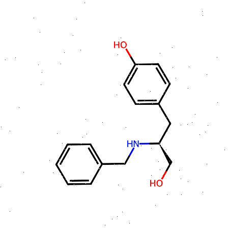 OC[C@H](Cc1ccc(O)cc1)NCc1ccccc1